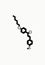 CCCCCCOc1ccc(C(=O)/C=C/c2ccc(SC)cc2)cc1